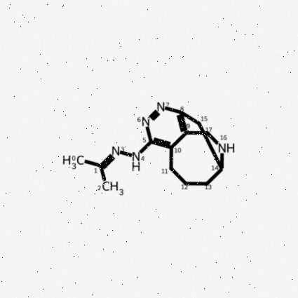 CC(C)=NNc1nnc2c3c1CCCC(C2)NC3